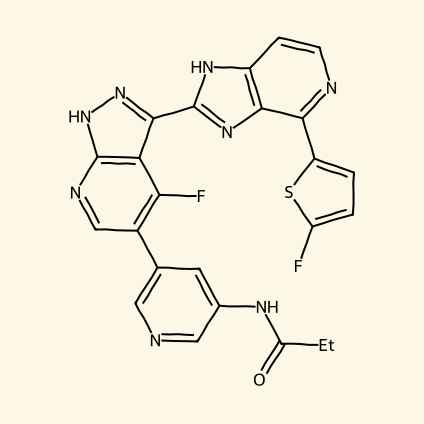 CCC(=O)Nc1cncc(-c2cnc3[nH]nc(-c4nc5c(-c6ccc(F)s6)nccc5[nH]4)c3c2F)c1